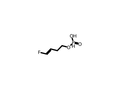 O=[PH](O)OCCC=CF